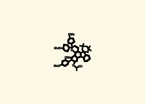 COc1ccc(C2(c3ccc(OC)cc3)C=Cc3c4c(c5cc(OC(C)O)c(-c6ccc(OC)cc6OC)cc5c3O2)-c2ccccc2C42CC(C)(C)CC(C)(C)C2)cc1